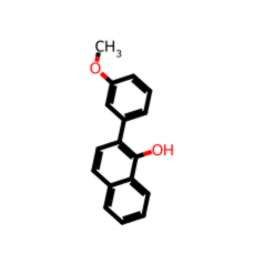 COc1cccc(-c2ccc3ccccc3c2O)c1